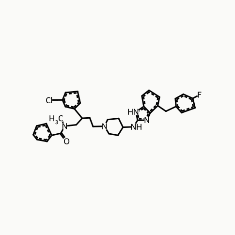 CN(CC(CCN1CCC(Nc2nc3c(Cc4ccc(F)cc4)cccc3[nH]2)CC1)c1cccc(Cl)c1)C(=O)c1ccccc1